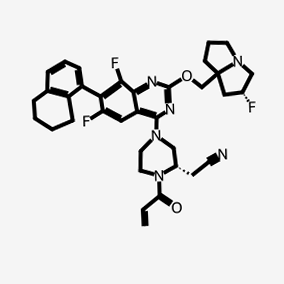 C=CC(=O)N1CCN(c2nc(OCC34CCCN3C[C@H](F)C4)nc3c(F)c(-c4cccc5c4CCCC5)c(F)cc23)C[C@@H]1CC#N